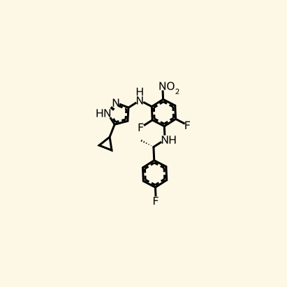 C[C@H](Nc1c(F)cc([N+](=O)[O-])c(Nc2cc(C3CC3)[nH]n2)c1F)c1ccc(F)cc1